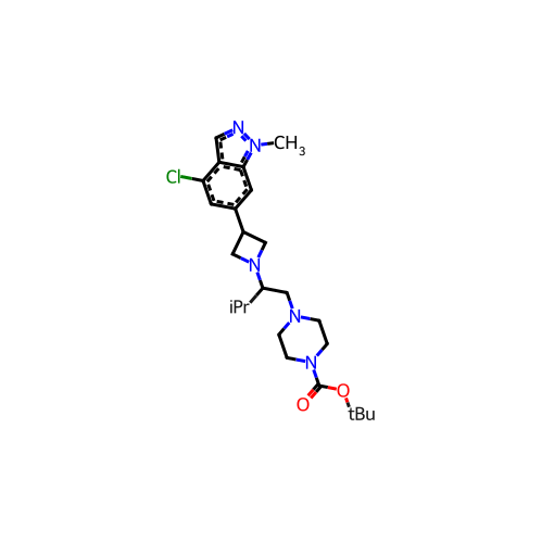 CC(C)C(CN1CCN(C(=O)OC(C)(C)C)CC1)N1CC(c2cc(Cl)c3cnn(C)c3c2)C1